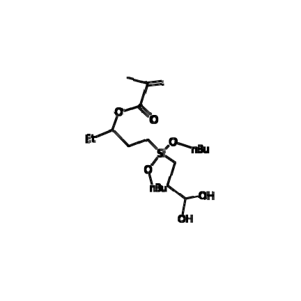 C=C(C)C(=O)OC(CC)CC[Si](CCC(O)O)(OCCCC)OCCCC